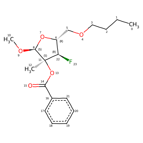 CCCCOC[C@H]1O[C@H](OC)[C@](C)(OC(=O)c2ccccc2)[C@@H]1F